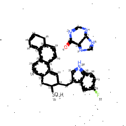 O=C1N=CN=C2N=CN=C12.O=S(=O)(O)C1Cc2ccc3c4c(ccc3c2=CC1Cc1c[nH]c2ccc(F)cc12)CC=CC=4